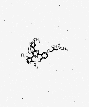 CNC[C@@H](O)COc1ccc(Cl)c(-c2nc(-c3cnn(C)c3)c(C)c(-c3c(C)noc3C)n2)c1